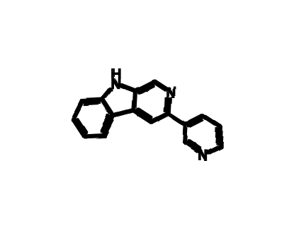 c1cncc(-c2cc3c(cn2)[nH]c2ccccc23)c1